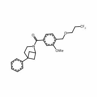 COc1cc(C(=O)N2CCC3(c4ccccc4)CC2C3)ccc1COCCC(F)(F)F